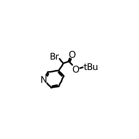 CC(C)(C)OC(=O)C(Br)c1cccnc1